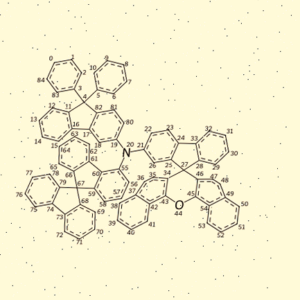 c1ccc(C2(c3ccccc3)c3ccccc3-c3cc(N(c4ccc5c(c4)C4(c6ccccc6-5)c5ccc6ccccc6c5Oc5c4ccc4ccccc54)c4cccc5c4-c4ccccc4C54c5ccccc5-c5ccccc54)ccc32)cc1